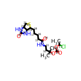 CC(Cl)OC(=O)OC(C)(C)CCNC(=O)CCCCC1SCC2NC(=O)NC21